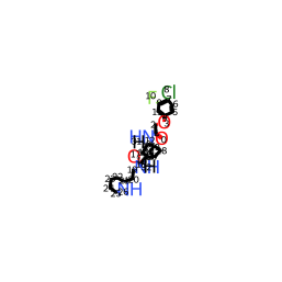 O=C(COc1ccc(Cl)c(F)c1)N[C@@H]1C[C@H](C(=O)NCCC2CCCCN2)C2CC1C2